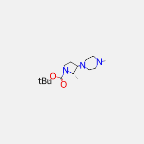 C[C@H]1[C@H](N2CCN(C)CC2)CCN1C(=O)OC(C)(C)C